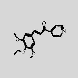 CCOc1c(OC)cc(/C=C/C(=O)c2ccncc2)cc1OC